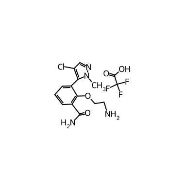 Cn1ncc(Cl)c1-c1cccc(C(N)=O)c1OCCN.O=C(O)C(F)(F)F